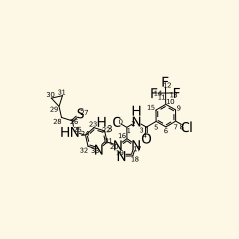 CC(NC(=O)c1cc(Cl)cc(C(F)(F)F)c1)c1ncnn1-c1ccc(NC(=S)CC2CC2)cn1